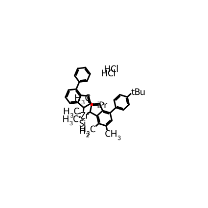 CC1=Cc2c(-c3ccc(C(C)(C)C)cc3)cc(C)c(C)c2[CH]1[Zr]([CH3])([CH3])(=[SiH2])[CH]1C(C(C)C)=Cc2c(-c3ccccc3)cccc21.Cl.Cl